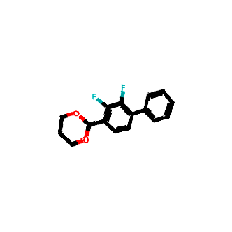 Fc1c(-c2ccccc2)ccc(C2OCCCO2)c1F